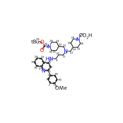 COc1ccc(-c2cc(NCCCN(CC3CCN(C(=O)O)CC3)CC3CCN(C(=O)OC(C)(C)C)CC3)c3ccccc3n2)cc1